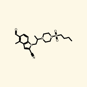 CCCCS(=O)(=O)N1CCN(C(C)Cn2c(C#N)cc3c(C)c(C=O)ccc32)CC1